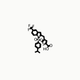 CC(C)c1ccc(S(=O)(=O)n2c(Cc3csc(C(=O)O)c3)cc3cc(C(F)(F)F)ccc32)cc1